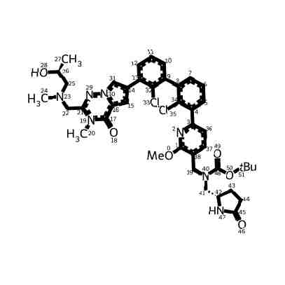 COc1nc(-c2cccc(-c3cccc(-c4cc5c(=O)n(C)c(CN(C)C[C@H](C)O)nn5c4)c3Cl)c2Cl)ccc1CN(C[C@@H]1CCC(=O)N1)C(=O)OC(C)(C)C